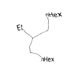 [CH2]CCCCCCC(CC)CCCCCC[CH2]